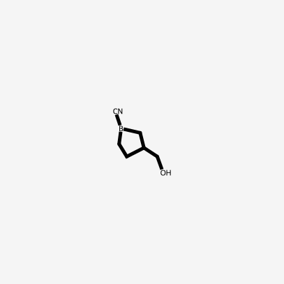 N#CB1CCC(CO)C1